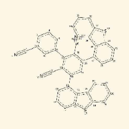 N#Cc1cccc(-c2c(C#N)c(-c3cccc4sc5ccccc5c34)cc(-c3cccc4sc5ccccc5c34)c2C#N)c1